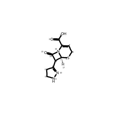 O=C(O)C1=CCS[C@H]2C(C3=NNCC3)C(=O)N12